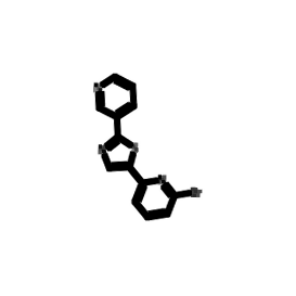 Brc1cccc(-c2cnc(-c3cccnc3)s2)n1